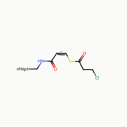 CCCCCCCCNC(=O)/C=C\SC(=O)CCCl